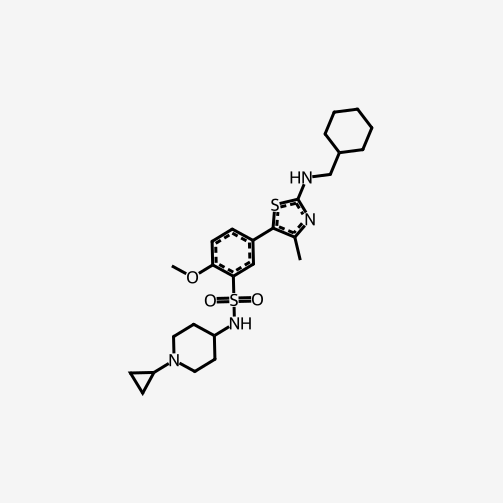 COc1ccc(-c2sc(NCC3CCCCC3)nc2C)cc1S(=O)(=O)NC1CCN(C2CC2)CC1